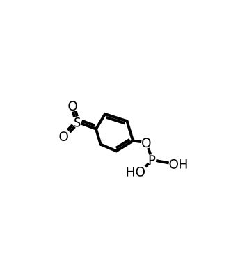 O=S(=O)=C1C=CC(OP(O)O)=CC1